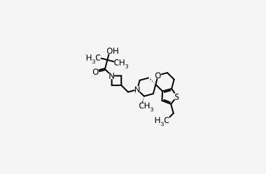 CCc1cc2c(s1)CCO[C@@]21CCN(CC2CN(C(=O)C(C)(C)O)C2)[C@@H](C)C1